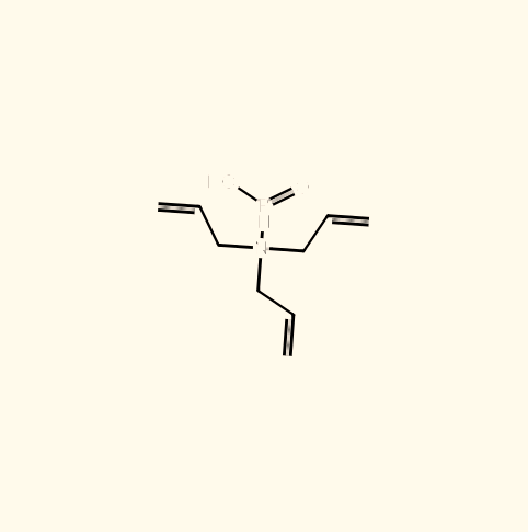 C=CC[N+](CC=C)(CC=C)[PH](=O)O